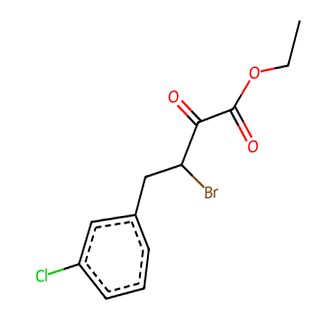 CCOC(=O)C(=O)C(Br)Cc1cccc(Cl)c1